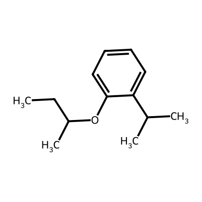 CCC(C)Oc1ccccc1C(C)C